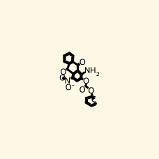 Nc1c(OC(=O)Oc2ccccc2)cc([N+](=O)[O-])c2c1C(=O)c1ccccc1C2=O